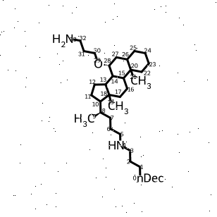 CCCCCCCCCCCCCNCCC[C@@H](C)C1CCC2C3C(CCC21C)C1(C)CCCCC1C[C@H]3OCCCN